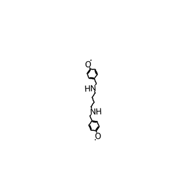 COc1ccc(CNCCCCNCc2ccc(OC)cc2)cc1